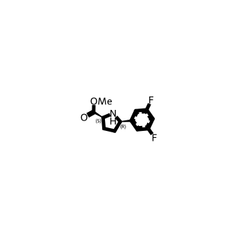 COC(=O)[C@@H]1CC[C@H](c2cc(F)cc(F)c2)N1